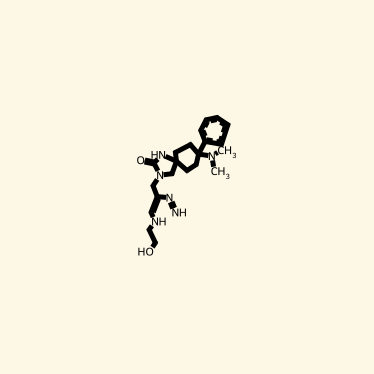 CN(C)C1(c2ccccc2)CCC2(CC1)CN(C/C(=C/NCCO)N=N)C(=O)N2